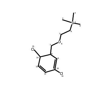 C[Si](C)(C)CCOCC1C=C(Cl)C=CC1Cl